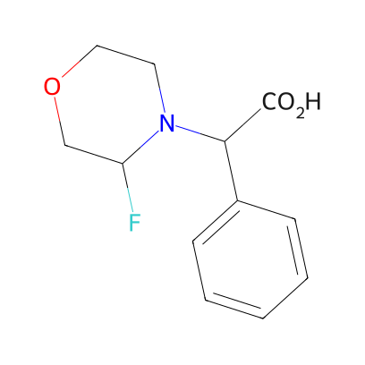 O=C(O)C(c1ccccc1)N1CCOCC1F